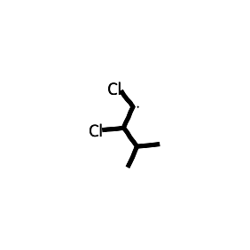 CC(C)C(Cl)[CH]Cl